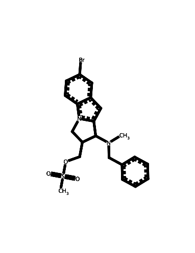 CN(Cc1ccccc1)C1c2cc3cc(Br)ccc3n2CC1COS(C)(=O)=O